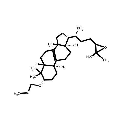 COCO[C@H]1CC[C@]2(C)C3=C(CC[C@H]2C1(C)C)[C@]1(C)CC[C@H]([C@H](C)CCC2OC2(C)C)[C@@]1(C)CC3